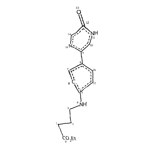 CCOC(=O)CCCNc1ccc(-c2c[nH]c(=O)cn2)cc1